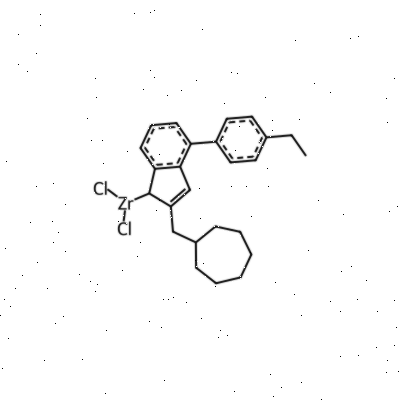 CCc1ccc(-c2cccc3c2C=C(CC2CCCCCC2)[CH]3[Zr]([Cl])[Cl])cc1